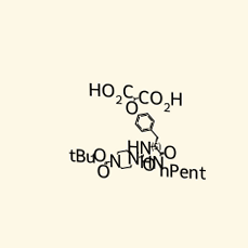 CCCCCNC(=O)[C@H](Cc1ccc(OC(C(=O)O)C(=O)O)cc1)NC(=O)N1CCN(C(=O)OC(C)(C)C)CC1